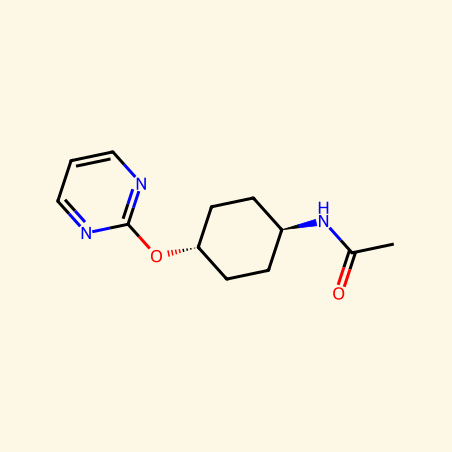 CC(=O)N[C@H]1CC[C@H](Oc2ncccn2)CC1